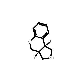 c1ccc2c(c1)OC[C@H]1CNC[C@@H]21